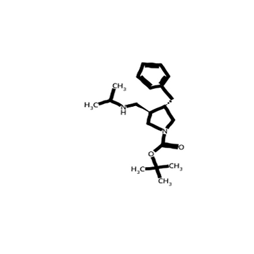 CC(C)NC[C@@H]1CN(C(=O)OC(C)(C)C)C[C@H]1Cc1ccccc1